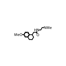 CNCCNC(=O)CC1CCCc2cc(OC)ccc21